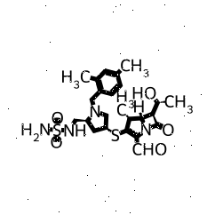 Cc1ccc(CN2C[C@@H](SC3=C(C=O)N4C(=O)[C@H]([C@@H](C)O)[C@H]4[C@H]3C)C[C@H]2CNS(N)(=O)=O)c(C)c1